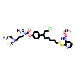 CCN(C)CCCN(C)C(=O)Oc1ccc(C(CCCl)CCCCCSSc2ncccc2NOOC)cc1